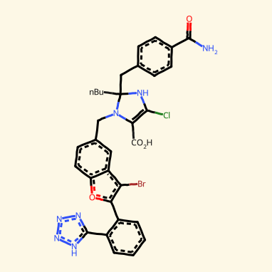 CCCCC1(Cc2ccc(C(N)=O)cc2)NC(Cl)=C(C(=O)O)N1Cc1ccc2oc(-c3ccccc3-c3nnn[nH]3)c(Br)c2c1